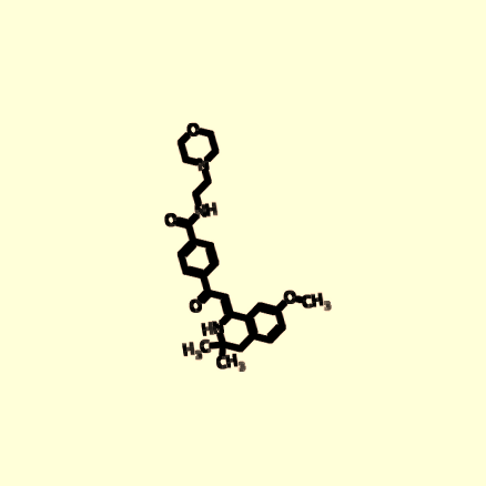 COc1ccc2c(c1)C(=CC(=O)c1ccc(C(=O)NCCN3CCOCC3)cc1)NC(C)(C)C2